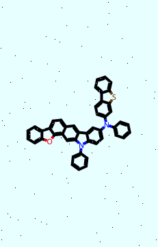 c1ccc(N(c2ccc3c(c2)sc2ccccc23)c2ccc3c(c2)c2cc4ccc5c6ccccc6oc5c4cc2n3-c2ccccc2)cc1